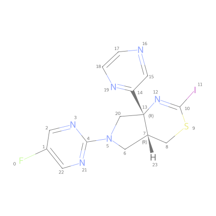 Fc1cnc(N2C[C@H]3CSC(I)=N[C@@]3(c3cnccn3)C2)nc1